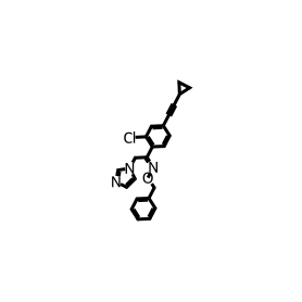 Clc1cc(C#CC2CC2)ccc1/C(Cn1ccnc1)=N/OCc1ccccc1